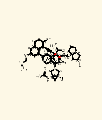 COCOc1cc(-c2ncc3c(N4C[C@H]5C[C@@]5(NC(=O)O)C4)nc(OC[C@@]45CCCN4C[C@H](F)C5)nc3c2F)c2c(C#C[Si](C(C)C)(C(C)C)C(C)C)c(F)ccc2c1